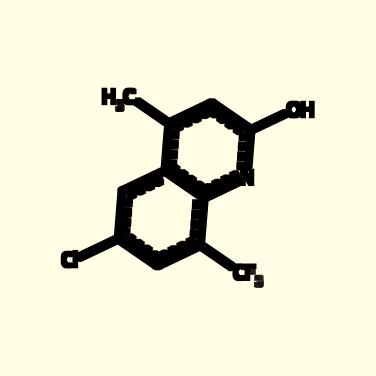 Cc1cc(O)nc2c(C(F)(F)F)cc(Cl)cc12